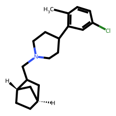 Cc1ccc(Cl)cc1C1CCN(CC2C[C@H]3CC[C@H]2C3)CC1